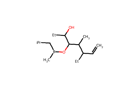 C=CC(CC)C(C)C(OB(C)CC(C)C)C(O)CC